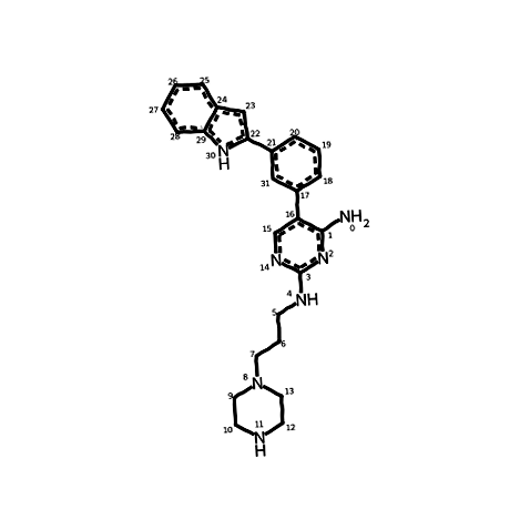 Nc1nc(NCCCN2CCNCC2)ncc1-c1cccc(-c2cc3ccccc3[nH]2)c1